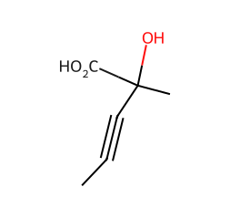 CC#CC(C)(O)C(=O)O